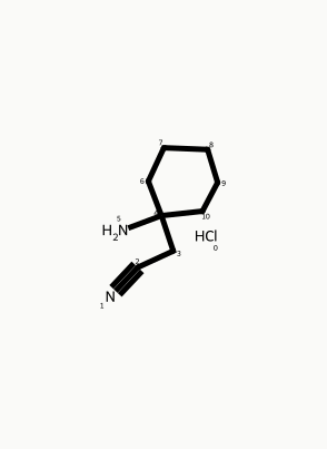 Cl.N#CCC1(N)CCCCC1